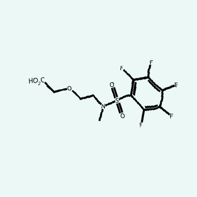 CN(CCOCC(=O)O)S(=O)(=O)c1c(F)c(F)c(F)c(F)c1F